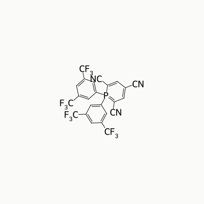 N#CC1=CC(C#N)=P(c2cc(C(F)(F)F)cc(C(F)(F)F)c2)(c2cc(C(F)(F)F)cc(C(F)(F)F)c2)C(C#N)=C1